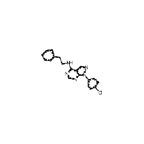 Clc1ccc(-n2ncc3c(NCCc4ccccc4)ncnc32)cc1